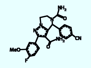 COc1cc(-c2nn3c(c2C(N)=O)C(c2ccc(C#N)cc2)N(C(N)=O)CC3)ccc1F